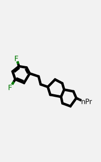 CCCC1CCC2CC(CCc3cc(F)cc(F)c3)CCC2C1